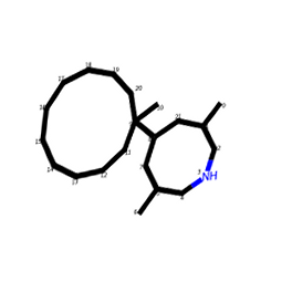 CC1CNCC(C)CC(C2(C)CCCCCCCCCC2)C1